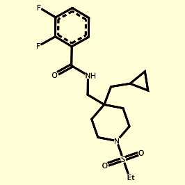 CCS(=O)(=O)N1CCC(CNC(=O)c2cccc(F)c2F)(CC2CC2)CC1